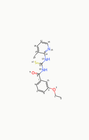 CCOc1cccc(C(=O)NC(=S)Nc2ncccc2C)c1